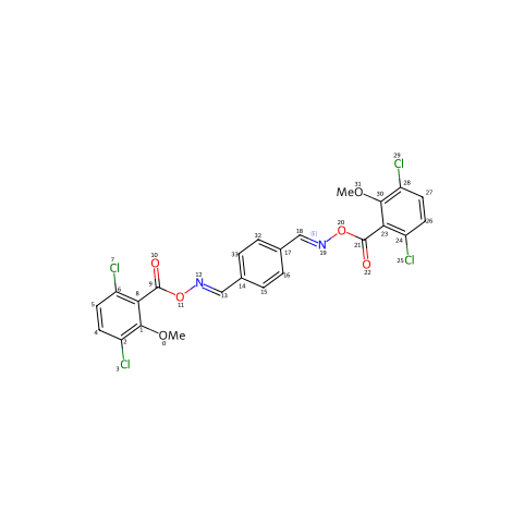 COc1c(Cl)ccc(Cl)c1C(=O)ON=Cc1ccc(/C=N/OC(=O)c2c(Cl)ccc(Cl)c2OC)cc1